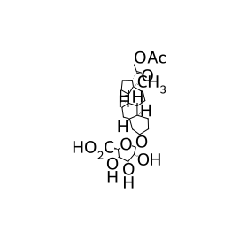 CC(=O)OCC(=O)[C@H]1CC[C@H]2[C@@H]3CC[C@H]4C[C@@H](OC5O[C@H](C(=O)O)[C@@H](O)[C@@H](O)[C@H]5O)CC[C@@H]4[C@H]3CC[C@]12C